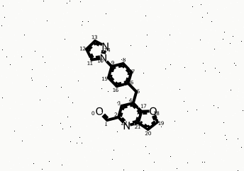 O=Cc1cc(Cc2ccc(-n3cccn3)cc2)c2occc2n1